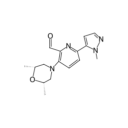 C[C@@H]1CN(c2ccc(-c3ccnn3C)nc2C=O)C[C@H](C)O1